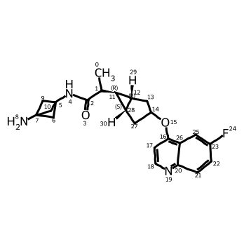 CC(C(=O)NC12CC(N)(C1)C2)[C@H]1[C@@H]2CC(Oc3ccnc4ccc(F)cc34)C[C@@H]21